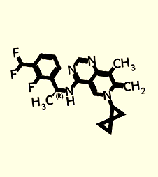 C=C1C(C)=c2ncnc(N[C@H](C)c3cccc(C(F)F)c3F)c2=CN1C1CC12CC2